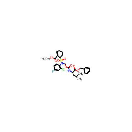 CCOC(=O)C1=CCCCC1S(=O)(=O)N(COC(=O)N[C@H](CC(C)C)C(=O)OCc1ccccc1)c1ccc(F)cc1Cl